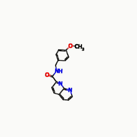 COc1ccc(CNC(=O)c2ccc3cccnc3n2)cc1